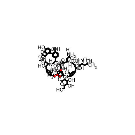 CNC(CC(C)C)C(=O)NC1C(=O)NC(CC(N)=O)C(=O)NC2C(=O)NC3C(=O)NC(C(=O)NC(C(=O)O)c4cc(O)cc(O)c4-c4cc3ccc4O)C(O)c3ccc(c(Cl)c3)Oc3cc2cc(c3OC2OC(CO)C(O)C(O)C2OC2CC(C)(N)C(O)C(C)O2)Oc2ccc(cc2Cl)C1O.I